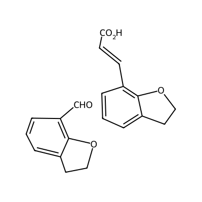 O=C(O)C=Cc1cccc2c1OCC2.O=Cc1cccc2c1OCC2